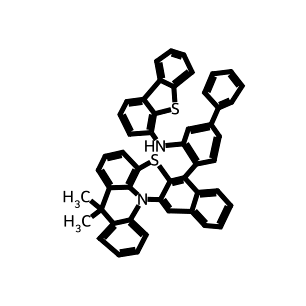 CC1(C)c2ccccc2N2c3cc4ccccc4c(-c4ccc(-c5ccccc5)cc4Nc4cccc5c4sc4ccccc45)c3Sc3cccc1c32